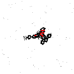 N#Cc1ccc(-c2ccc(-c3nc(-c4ccccc4)nc(-n4c5ccccc5c5ccc6c7ccccc7n(-c7cc(-c8ccccc8)c8oc9ccccc9c8c7)c6c54)n3)cc2)cc1